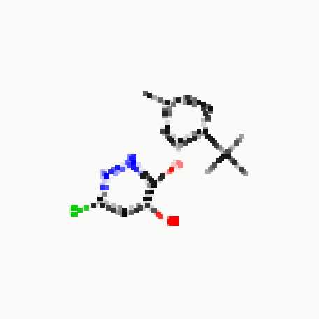 Cc1ccc(C(C)(C)C)c(Oc2nnc(Cl)cc2O)c1